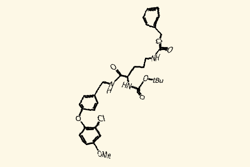 COc1ccc(Oc2ccc(CNC(=O)C(CCCNC(=O)OCc3ccccc3)NC(=O)OC(C)(C)C)cc2)c(Cl)c1